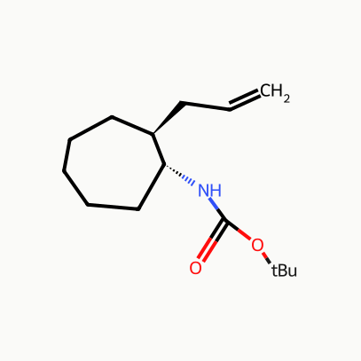 C=CC[C@@H]1CCCCC[C@H]1NC(=O)OC(C)(C)C